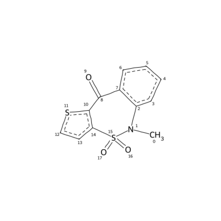 CN1c2ccccc2C(=O)c2sccc2S1(=O)=O